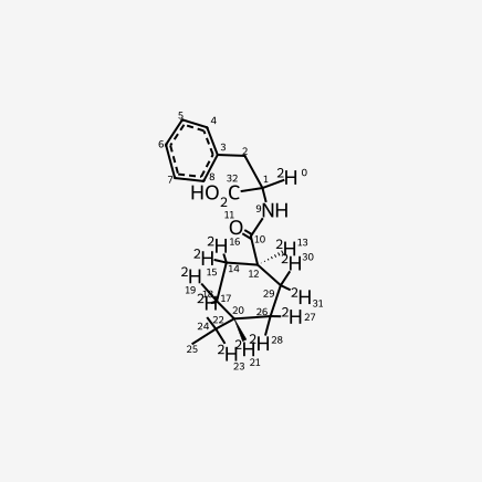 [2H]C(Cc1ccccc1)(NC(=O)[C@]1([2H])C([2H])([2H])C([2H])([2H])[C@@]([2H])(C([2H])(C)C)C([2H])([2H])C1([2H])[2H])C(=O)O